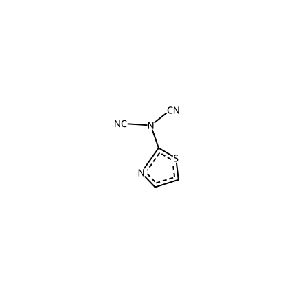 N#CN(C#N)c1nccs1